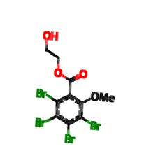 COc1c(Br)c(Br)c(Br)c(Br)c1C(=O)OCCO